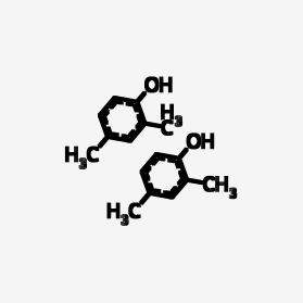 Cc1ccc(O)c(C)c1.Cc1ccc(O)c(C)c1